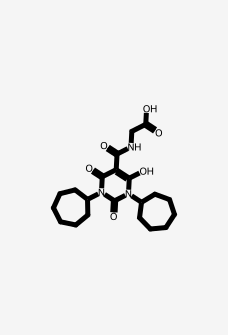 O=C(O)CNC(=O)c1c(O)n(C2CCCCCC2)c(=O)n(C2CCCCCC2)c1=O